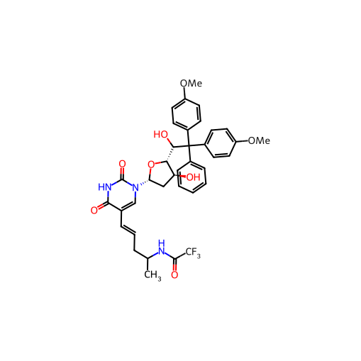 COc1ccc(C(c2ccccc2)(c2ccc(OC)cc2)C(O)[C@H]2O[C@@H](n3cc(C=CCC(C)NC(=O)C(F)(F)F)c(=O)[nH]c3=O)C[C@@H]2O)cc1